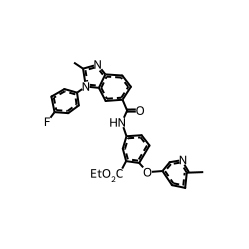 CCOC(=O)c1cc(NC(=O)c2ccc3nc(C)n(-c4ccc(F)cc4)c3c2)ccc1Oc1ccc(C)nc1